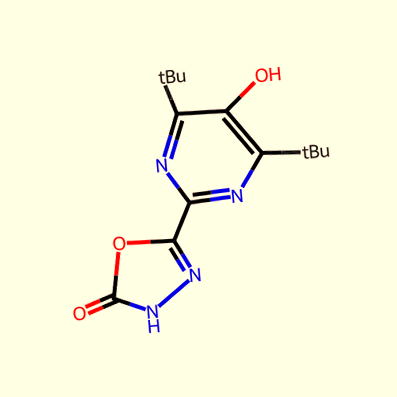 CC(C)(C)c1nc(-c2n[nH]c(=O)o2)nc(C(C)(C)C)c1O